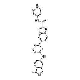 C=C(NC(/C=C\N)=C/N)c1nc2cc(-c3nccc(Nc4ccc5[nH]ncc5c4)n3)ccc2o1